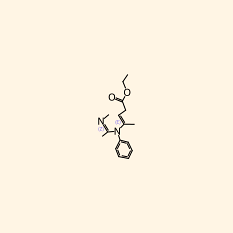 CCOC(=O)C/C=C(\C)N(/C(C)=N\C)c1ccccc1